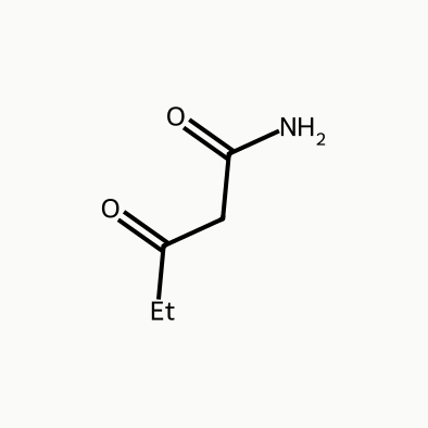 CCC(=O)CC(N)=O